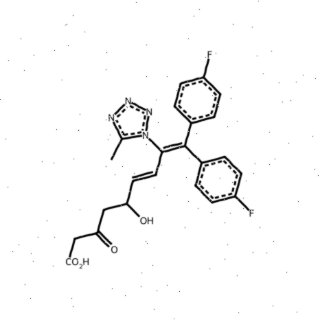 Cc1nnnn1C(C=CC(O)CC(=O)CC(=O)O)=C(c1ccc(F)cc1)c1ccc(F)cc1